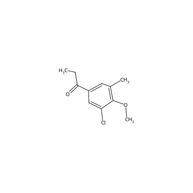 CCC(=O)c1cc(C)c(OC)c(Cl)c1